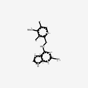 COc1c(C)cnc(CNc2nc(N)nc3[nH]cnc23)c1C